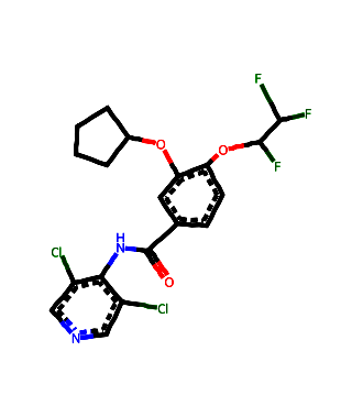 O=C(Nc1c(Cl)cncc1Cl)c1ccc(OC(F)C(F)F)c(OC2CCCC2)c1